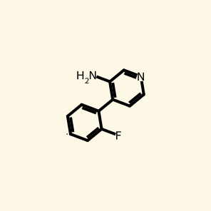 Nc1cnccc1-c1cc[c]cc1F